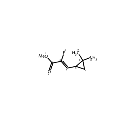 COC(=O)C(F)=CC1CC1(C)C